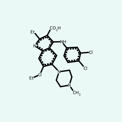 CCOc1cc2nc(CC)c(C(=O)O)c(Nc3ccc(Cl)c(Cl)c3)c2cc1N1CCN(C)CC1